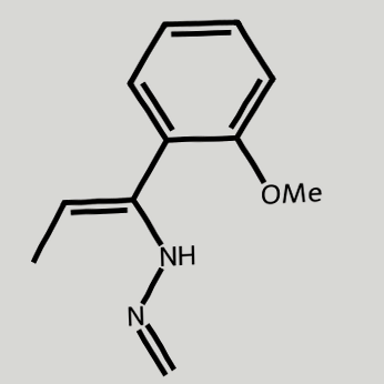 C=NN/C(=C\C)c1ccccc1OC